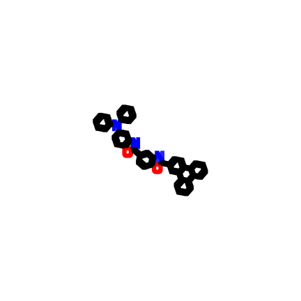 C1=CC2c3ccccc3-c3cc(-c4nc5cc(-c6nc7cc(N(c8ccccc8)c8ccccc8)ccc7o6)ccc5o4)ccc3C2C=C1